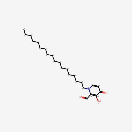 CCCCCCCCCCCCCCCCCCn1ccc(=O)c(O)c1C=O